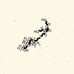 CCC(COC(=O)CCO)(COC(=O)CCO)COC(=O)CCSCCCC(C)(C)OCC(C)C(C)(C)C(C)(C)OCCC(C)(N)O